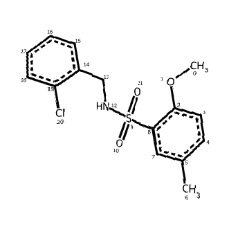 COc1ccc(C)cc1S(=O)(=O)NCc1ccccc1Cl